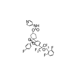 O=C(Nc1ccncc1)OC1CCC(c2ccc(C(OCc3c(F)cccc3F)(C(F)(F)F)C(F)(F)F)cc2)(S(=O)(=O)c2ccc(F)cc2)CC1